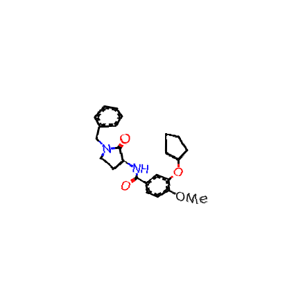 COc1ccc(C(=O)N[C@H]2CCN(Cc3ccccc3)C2=O)cc1OC1CCCC1